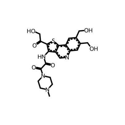 CN1CCN(C(=O)C(=O)Nc2c(C(=O)CO)sc3c2cnc2cc(CO)c(CO)cc23)CC1